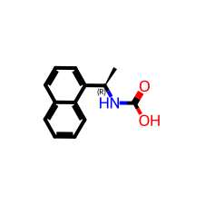 C[C@@H](NC(=O)O)c1cccc2ccccc12